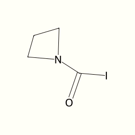 O=C(I)N1CCC1